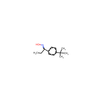 CC/C(=N\O)c1ccc(C(C)(C)C)cc1